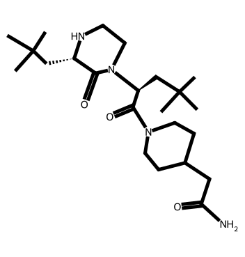 CC(C)(C)C[C@@H]1NCCN([C@@H](CC(C)(C)C)C(=O)N2CCC(CC(N)=O)CC2)C1=O